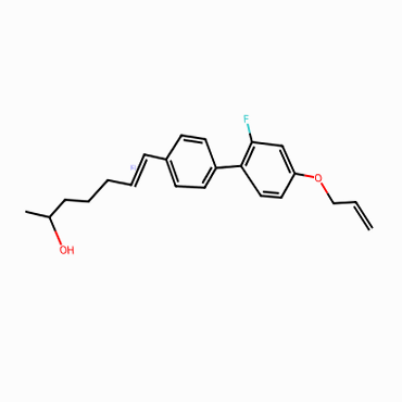 C=CCOc1ccc(-c2ccc(/C=C/CCCC(C)O)cc2)c(F)c1